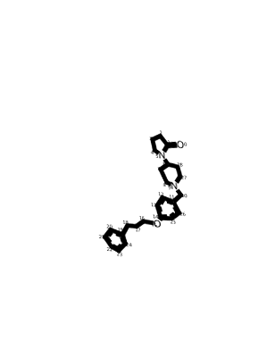 O=C1CCCN1C1CCN(Cc2ccc(OCCCc3ccccc3)cc2)CC1